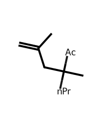 C=C(C)CC(C)(CCC)C(C)=O